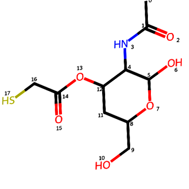 CC(=O)NC1C(O)OC(CO)CC1OC(=O)CS